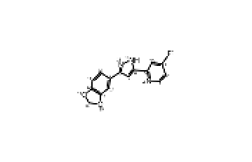 Fc1ccnc(-c2cc(-c3ccc4c(c3)OCO4)n[nH]2)c1